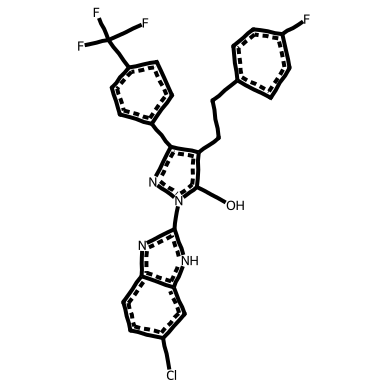 Oc1c(CCc2ccc(F)cc2)c(-c2ccc(C(F)(F)F)cc2)nn1-c1nc2ccc(Cl)cc2[nH]1